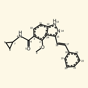 COc1c(C(=O)NC2CC2)ccc2[nH]nc(C=Cc3ccccc3)c12